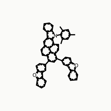 Cc1cc(C)c(-n2c3ccccc3c3cc4ccc5c(-c6ccc7oc8ccccc8c7c6)cc(-c6ccc7oc8ccccc8c7c6)c6ccc(c4c56)c32)c(C)c1